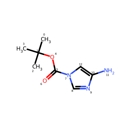 CC(C)(C)OC(=O)n1cnc(N)c1